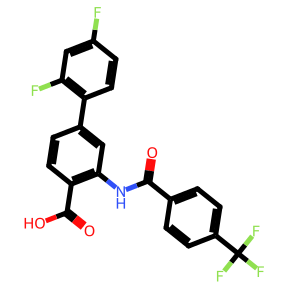 O=C(Nc1cc(-c2ccc(F)cc2F)ccc1C(=O)O)c1ccc(C(F)(F)F)cc1